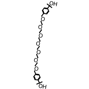 CC(C)(O)c1ccc(COCCOCCOCCOCCOCCOCCOCc2ccc(C(C)(C)O)cc2)cc1